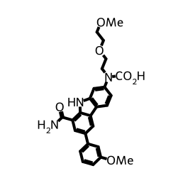 COCCOCCN(C(=O)O)c1ccc2c(c1)[nH]c1c(C(N)=O)cc(-c3cccc(OC)c3)cc12